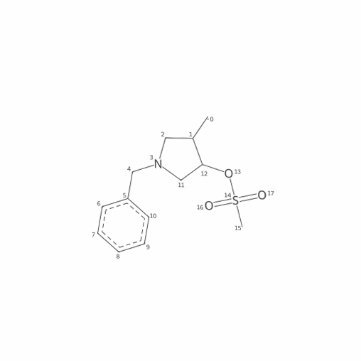 [CH2]C1CN(Cc2ccccc2)CC1OS(C)(=O)=O